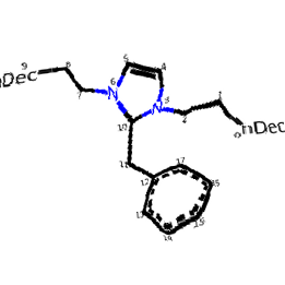 CCCCCCCCCCCCN1C=CN(CCCCCCCCCCCC)C1Cc1ccccc1